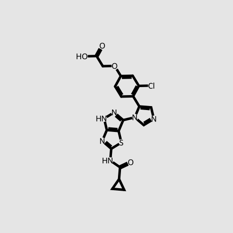 O=C(O)COc1ccc(-c2cncn2-c2n[nH]c3nc(NC(=O)C4CC4)sc23)c(Cl)c1